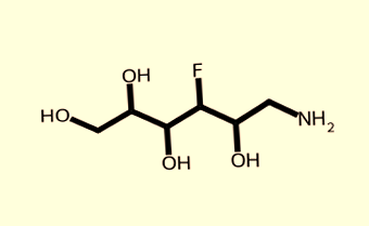 NCC(O)C(F)C(O)C(O)CO